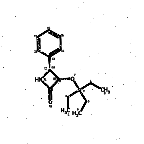 CC[Si](CC)(CC)O[C@H]1C(=O)N[C@H]1c1ccccc1